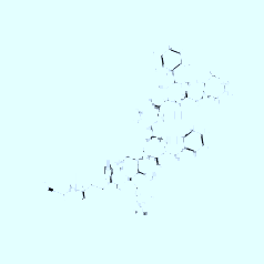 C#CCNC(=O)CCC(=O)OC(C)(COS(C)(=O)=O)C(=O)C(CC(C)C)NC(=O)[C@H](Cc1ccccc1)NC(=O)[C@H](CC(C)C)NC(=O)[C@H](CCc1ccccc1)NC(=O)CN1CCOCC1